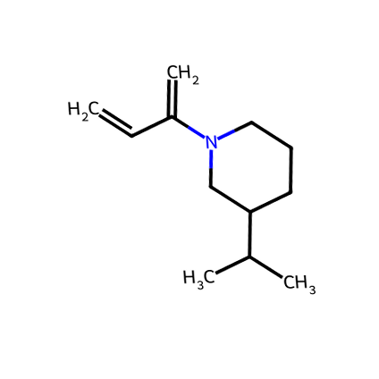 C=CC(=C)N1CCCC(C(C)C)C1